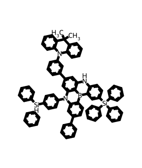 CC1(C)c2ccccc2N(c2cccc(-c3cc4c5c(c3)N(c3ccc([SiH](c6ccccc6)c6ccccc6)cc3)c3cc(-c6ccccc6)ccc3B5c3cc([Si](c5ccccc5)(c5ccccc5)c5ccccc5)ccc3N4)c2)c2ccccc21